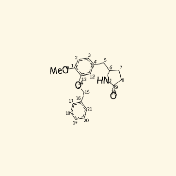 COc1ccc(CC2CCC(=O)N2)cc1OCc1ccccc1